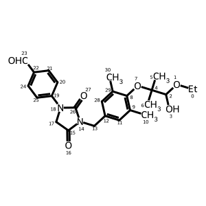 CCOC(O)C(C)(C)Oc1c(C)cc(CN2C(=O)CN(c3ccc(C=O)cc3)C2=O)cc1C